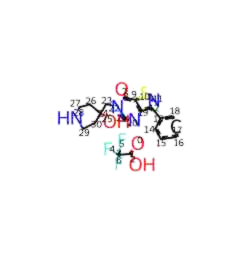 O=C(O)C(F)(F)F.O=c1c2snc(-c3ccccc3)c2ncn1CC1(O)CCNCC1